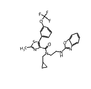 Cc1nc(C(=O)N(CCNc2nc3ccccc3o2)CC2CC2)c(-c2cccc(OC(F)(F)F)c2)s1